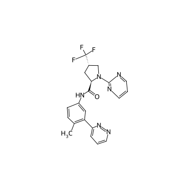 Cc1ccc(NC(=O)[C@H]2C[C@H](C(F)(F)F)CN2c2ncccn2)cc1-c1cccnn1